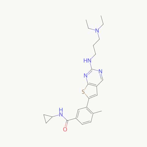 CCN(CC)CCCNc1ncc2cc(-c3cc(C(=O)NC4CC4)ccc3C)sc2n1